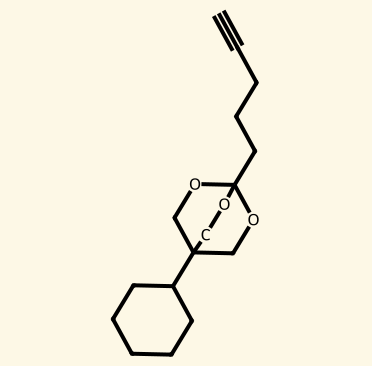 C#CCCCC12OCC(C3CCCCC3)(CO1)CO2